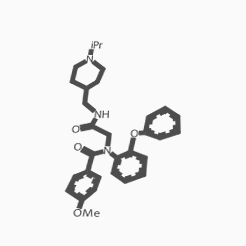 COc1ccc(C(=O)N(CC(=O)NCC2CCN(C(C)C)CC2)c2ccccc2Oc2ccccc2)cc1